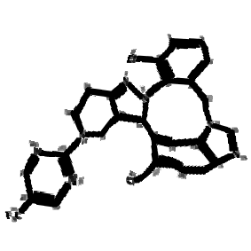 CCc1cccc2c1-n1nc3c(c1-c1cc4c(cc1Cl)ncn4C2)CN(c1ncc(C(F)(F)F)cn1)CC3